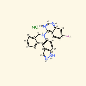 Cl.Ic1ccc2c(N(Cc3ccccc3)c3ccc4[nH]ncc4c3)ncnc2c1